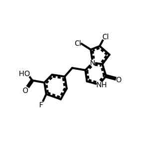 O=C(O)c1cc(Cc2c[nH]c(=O)c3cc(Cl)c(Cl)n23)ccc1F